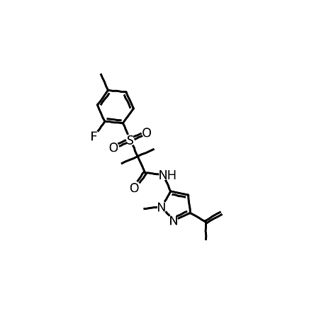 C=C(C)c1cc(NC(=O)C(C)(C)S(=O)(=O)c2ccc(C)cc2F)n(C)n1